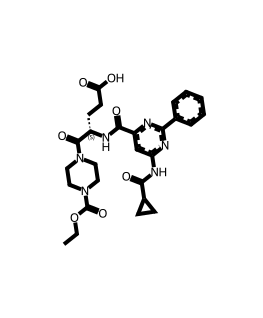 CCOC(=O)N1CCN(C(=O)[C@H](CCC(=O)O)NC(=O)c2cc(NC(=O)C3CC3)nc(-c3ccccc3)n2)CC1